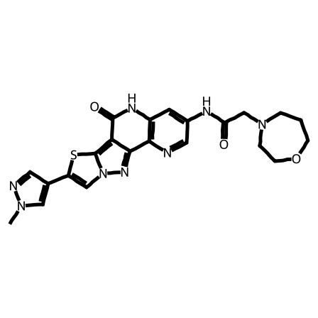 Cn1cc(-c2cn3nc4c5ncc(NC(=O)CN6CCCOCC6)cc5[nH]c(=O)c4c3s2)cn1